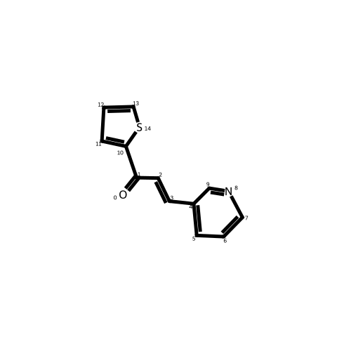 O=C(C=Cc1cccnc1)c1cccs1